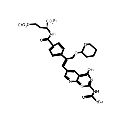 CCOC(=O)CC[C@H](NC(=O)c1ccc(C(=Cc2cnc3nc(NC(=O)C(C)(C)C)nc(O)c3c2)COC2CCCCO2)cc1)C(=O)OCC